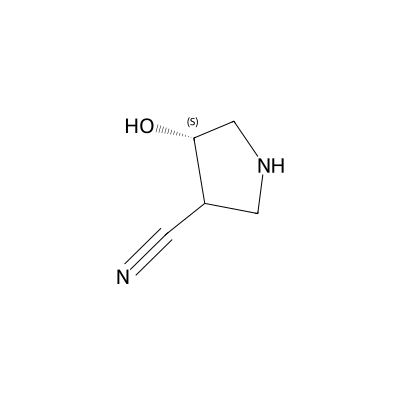 N#CC1CNC[C@H]1O